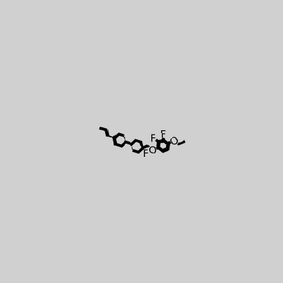 CCC[C@H]1CC[C@H]([C@H]2CC[C@](F)(COc3ccc(OCC)c(F)c3F)CC2)CC1